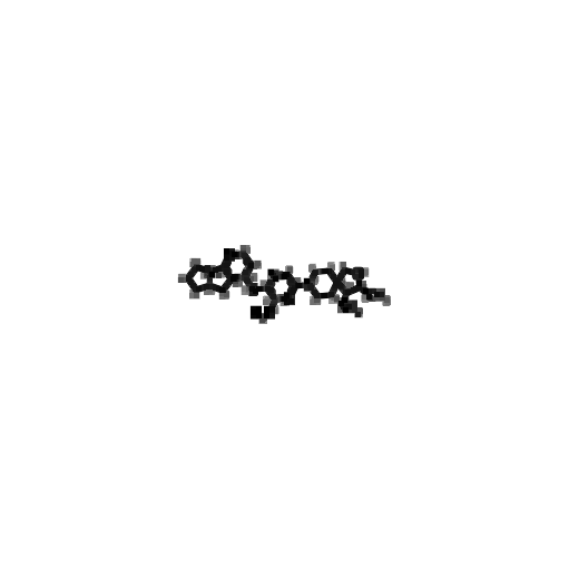 C[C@@H]1OCC2(CCN(c3cnc(Sc4ccnc5c4CC4CCCN54)c(N)n3)CC2)[C@@H]1N